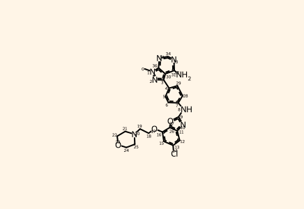 Cn1nc(-c2ccc(Nc3nc4cc(Cl)cc(OCCN5CCOCC5)c4o3)cc2)c2c(N)ncnc21